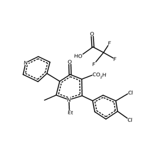 CCn1c(C)c(-c2ccncc2)c(=O)c(C(=O)O)c1-c1ccc(Cl)c(Cl)c1.O=C(O)C(F)(F)F